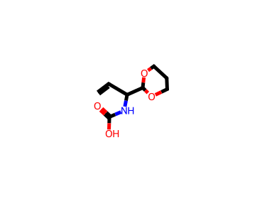 C=CC(NC(=O)O)C1OCCCO1